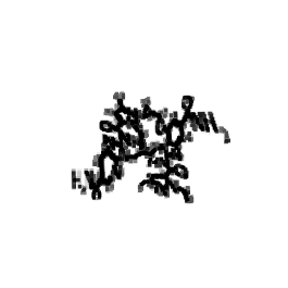 CCn1nc(C)cc1C(=O)Nc1nc2cc(C(N)=O)cc(OCC3CC3)c2n1C/C=C/Cn1c(NC(=O)c2cc(C)nn2CCF)nc2cc(C(N)=O)cnc21